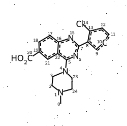 CN1CCN(c2nc(-c3ccccc3Cl)nc3ccc(C(=O)O)cc23)CC1